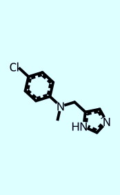 CN(Cc1cnc[nH]1)c1ccc(Cl)cc1